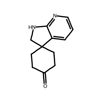 O=C1CCC2(CC1)CNc1ncccc12